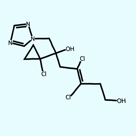 OCCC(Cl)=C(Cl)CC(O)(Cn1cncn1)C1(Cl)CC1